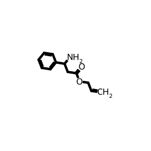 C=CCOC(=O)CC(N)c1ccccc1